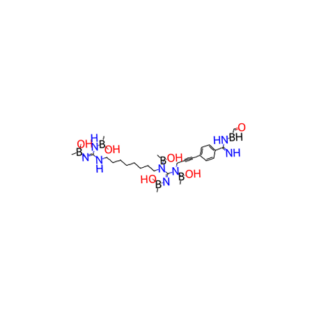 CB(O)/N=C(/NCCCCCCCCN(B(C)O)/C(=N\B(C)O)N(CC#Cc1ccc(C(=N)NBC=O)cc1)B(C)O)NB(C)O